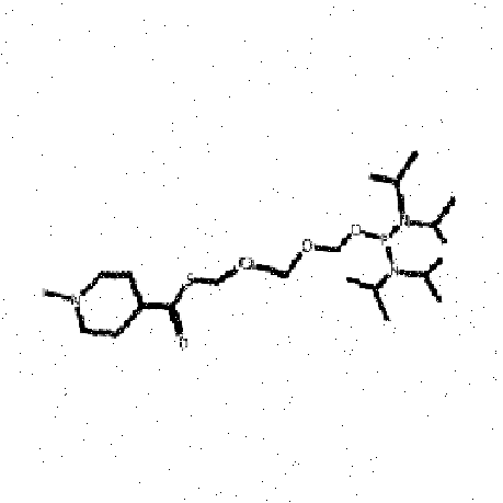 CC(C)N(C(C)C)P(OCOCOCSC(=O)C1CCN(I)CC1)N(C(C)C)C(C)C